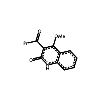 COc1c(C(=O)C(C)C)c(=O)[nH]c2ccccc12